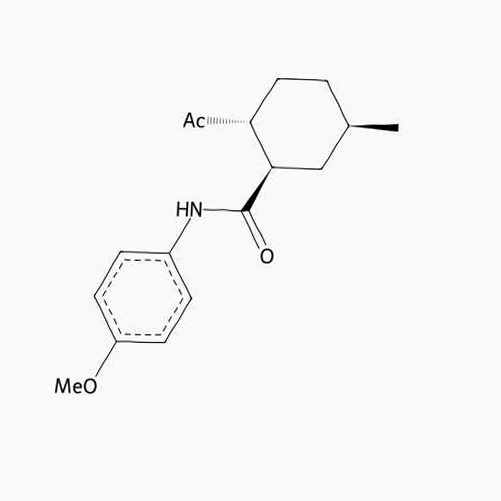 COc1ccc(NC(=O)[C@@H]2C[C@H](C)CC[C@H]2C(C)=O)cc1